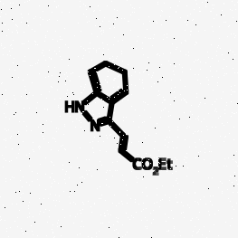 CCOC(=O)/C=C/c1n[nH]c2c1=CCCC=2